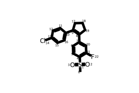 CS(=O)(=O)c1ccc(C2=C(c3ccc(Cl)cc3)CCC2)cc1F